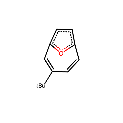 CC(C)(C)C1=Cc2ccc(o2)C=C1